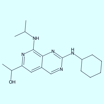 CC(C)Nc1nc(C(C)O)cc2cnc(NC3CCCCC3)nc12